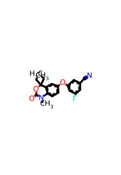 CCC1(CC)OC(=O)N(C)c2ccc(Oc3cc(F)cc(C#N)c3)cc21